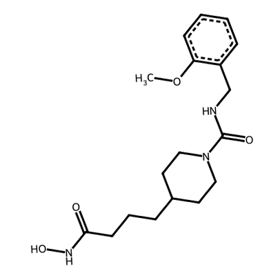 COc1ccccc1CNC(=O)N1CCC(CCCC(=O)NO)CC1